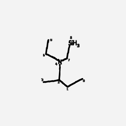 CCC(C)N(CC)C[SiH3]